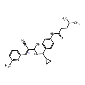 Cc1cccc(/C=C(\C#N)C(O)NC(c2ccc(NC(=O)CCN(C)C)cc2)C2CC2)n1